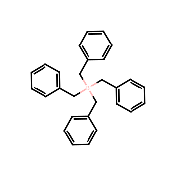 c1ccc(C[B-](Cc2ccccc2)(Cc2ccccc2)Cc2ccccc2)cc1